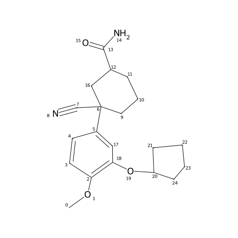 COc1ccc(C2(C#N)CCCC(C(N)=O)C2)cc1OC1CCCC1